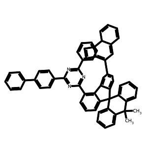 CC1(C)c2ccccc2C2(c3ccc(C4=C5C=CC5C5C=CC=CC5=C4)cc3-c3c(-c4nc(-c5ccccc5)nc(-c5ccc(-c6ccccc6)cc5)n4)cccc32)c2ccccc21